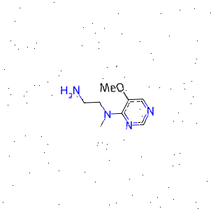 COc1cncnc1N(C)CCN